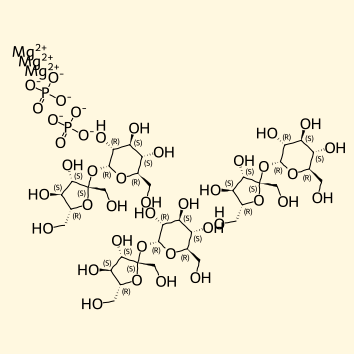 O=P([O-])([O-])[O-].O=P([O-])([O-])[O-].OC[C@H]1O[C@@](CO)(O[C@H]2O[C@H](CO)[C@@H](O)[C@H](O)[C@H]2O)[C@@H](O)[C@@H]1O.OC[C@H]1O[C@@](CO)(O[C@H]2O[C@H](CO)[C@@H](O)[C@H](O)[C@H]2O)[C@@H](O)[C@@H]1O.OC[C@H]1O[C@@](CO)(O[C@H]2O[C@H](CO)[C@@H](O)[C@H](O)[C@H]2O)[C@@H](O)[C@@H]1O.[Mg+2].[Mg+2].[Mg+2]